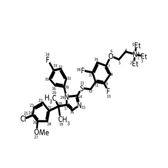 CC[N+](CC)(CC)CCOc1cc(F)c(CSc2ncc(C(C)(C)c3ccc(Cl)c(OC)c3)n2-c2ccc(F)cc2)c(F)c1